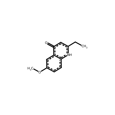 CCc1cc(=O)c2cc(OC)ccc2[nH]1